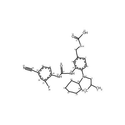 CC(C)CN(c1ccc(CSC(=O)O)cc1NC(=O)Nc1ccc(C#N)cc1F)C1CCCCC1